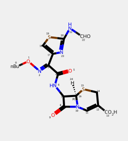 CCCCON=C(C(=O)NC1C(=O)N2C=C(C(=O)O)CS[C@H]12)c1csc(NC=O)n1